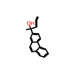 C=C=CC(C)(O)c1ccc2c(ccc3ccccc32)c1